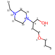 CCCOCCC(CO)N1CCN(CC)CC1